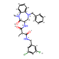 CC(C(=O)NCc1cc(F)cc(F)c1)C(=O)NC1CN(Cc2ccccc2)c2ccccc2N(C)C1=O